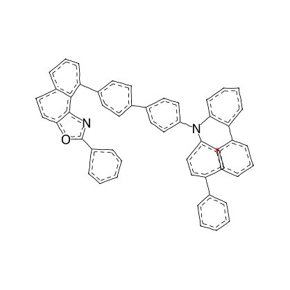 c1ccc(-c2ccc(N(c3ccc(-c4ccc(-c5cccc6ccc7oc(-c8ccccc8)nc7c56)cc4)cc3)c3ccccc3-c3ccccc3)cc2)cc1